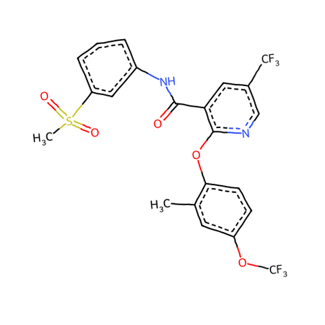 Cc1cc(OC(F)(F)F)ccc1Oc1ncc(C(F)(F)F)cc1C(=O)Nc1cccc(S(C)(=O)=O)c1